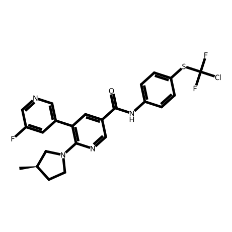 C[C@@H]1CCN(c2ncc(C(=O)Nc3ccc(SC(F)(F)Cl)cc3)cc2-c2cncc(F)c2)C1